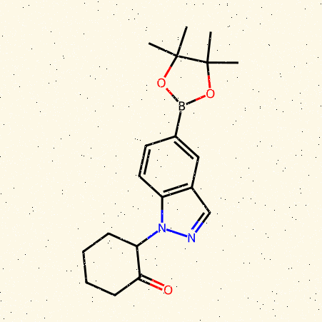 CC1(C)OB(c2ccc3c(cnn3C3CCCCC3=O)c2)OC1(C)C